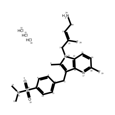 Cc1c(Cc2ccc(S(=O)(=O)N(C)C)cc2)c2nc(F)ccc2n1CC(F)=CCN.Cl.Cl.Cl